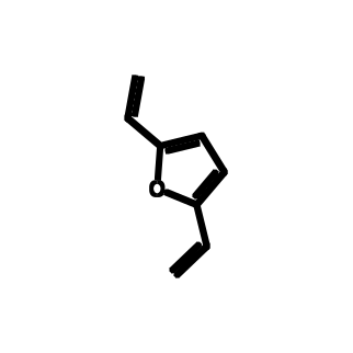 C=Cc1ccc(C=C)o1